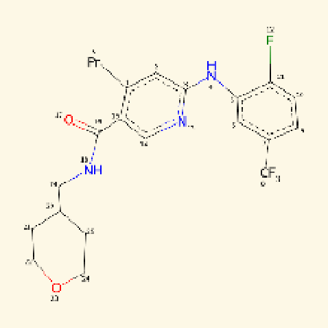 CC(C)c1cc(Nc2cc(C(F)(F)F)ccc2F)ncc1C(=O)NCC1CCOCC1